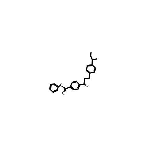 CCC(C)c1ccc(CCC(=O)c2ccc(C(=O)Oc3ccccc3)cc2)cc1